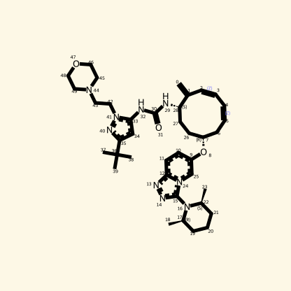 C=C1/C=C\C=C/C[C@H](Oc2ccc3nnc(N4[C@H](C)CCC[C@@H]4C)n3c2)CC[C@@H]1NC(=O)Nc1cc(C(C)(C)C)nn1CCN1CCOCC1